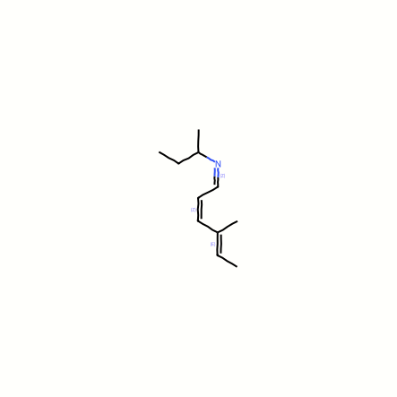 C/C=C(C)/C=C\C=N/C(C)CC